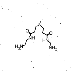 CN(CCC(=O)NCN)CCC(=O)NCCN